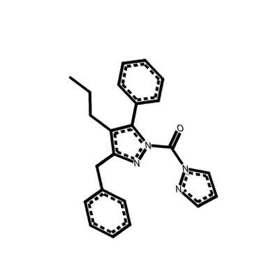 CCCc1c(Cc2ccccc2)nn(C(=O)n2cccn2)c1-c1ccccc1